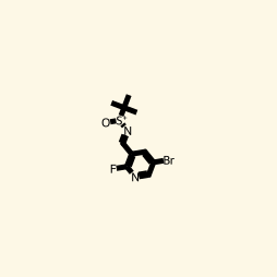 CC(C)(C)[S+]([O-])/N=C/c1cc(Br)cnc1F